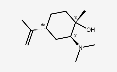 C=C(C)[C@@H]1CC[C@](C)(O)[C@@H](N(C)C)C1